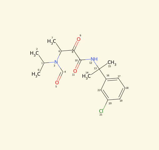 CC(C)N(C=O)C(C)C(=O)C(=O)NC(C)(C)c1cccc(Cl)c1